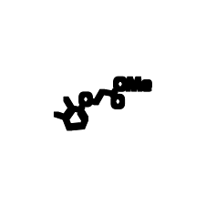 COC(=O)CCOc1cccc(C)c1C